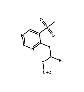 CCC(Cc1ncncc1S(C)(=O)=O)OC=O